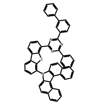 c1ccc(-c2cccc(-c3nc(-c4ccccc4)nc(-c4cccc5c4sc4c(-n6c7ccc8ccccc8c7c7c8ccccc8ccc76)cccc45)n3)c2)cc1